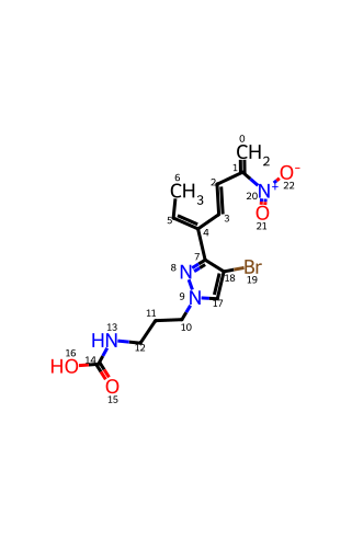 C=C(C=CC(=CC)c1nn(CCCNC(=O)O)cc1Br)[N+](=O)[O-]